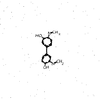 C=Nc1ccc(-c2ccc(O)c(N=C)c2)cc1O